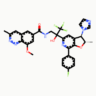 COc1cc(C(=O)NCC(O)(c2cc3c(c(-c4ccc(F)cc4)n2)O[C@@H](C)[C@@H]3n2ccnc2)C(F)(F)F)cc2cc(C)nnc12